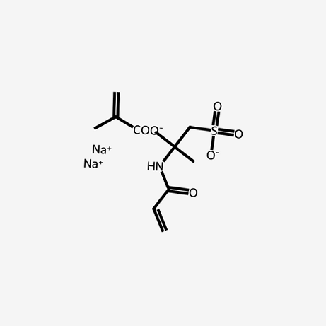 C=C(C)C(=O)[O-].C=CC(=O)NC(C)(C)CS(=O)(=O)[O-].[Na+].[Na+]